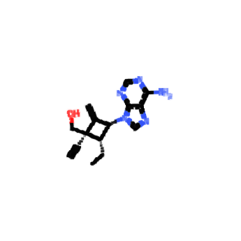 C#C[C@]1(CO)C(=C)[C@@H](n2cnc3c(N)ncnc32)[C@@H]1CC